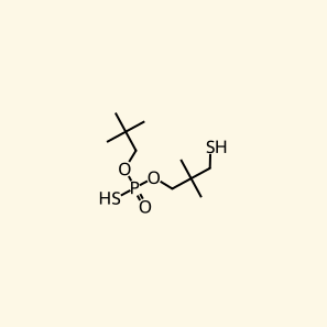 CC(C)(C)COP(=O)(S)OCC(C)(C)CS